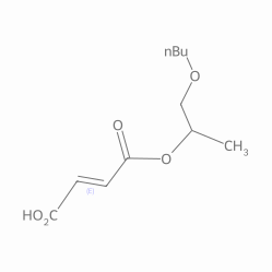 CCCCOCC(C)OC(=O)/C=C/C(=O)O